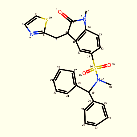 CN1C(=O)C(Cc2nccs2)c2cc(S(=O)(=O)N(C)C(c3ccccc3)c3ccccc3)ccc21